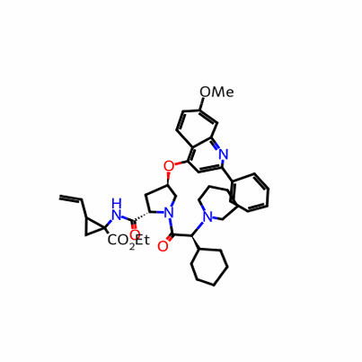 C=CC1CC1(NC(=O)[C@@H]1C[C@@H](Oc2cc(-c3ccccc3)nc3cc(OC)ccc23)CN1C(=O)[C@H](C1CCCCC1)N1CCCCC1)C(=O)OCC